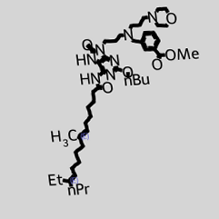 CCCCOc1nc(NC(=O)CCCCC/C=C(\C)CCCC/C=C(\CC)CCC)c2[nH]c(=O)n(CCCN(CCCN3CCOCC3)Cc3cccc(C(=O)OC)c3)c2n1